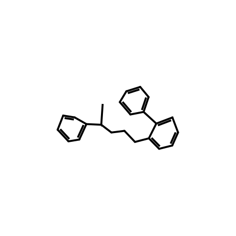 C[C](CCCc1ccccc1-c1ccccc1)c1ccccc1